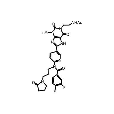 CCCn1c(=O)n(CCNC(C)=O)c(=O)c2[nH]c(-c3ccc(N(CCCN4CCCC4=O)C(=O)c4ccc(F)c(F)c4)nc3)nc21